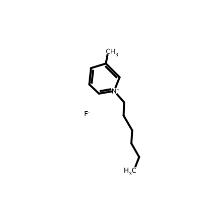 CCCCCC[n+]1cccc(C)c1.[F-]